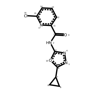 O=C(Nc1nnc(C2CC2)o1)c1cccc(Cl)n1